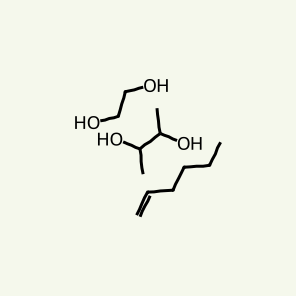 C=CCCCC.CC(O)C(C)O.OCCO